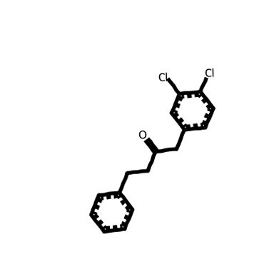 O=C(CCc1ccccc1)Cc1ccc(Cl)c(Cl)c1